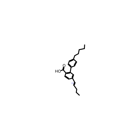 CCC/C=C/c1ccc(C(=O)O)c(-c2ccc(CCCCC)cc2)c1